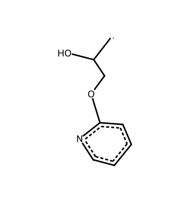 [CH2]C(O)COc1ccccn1